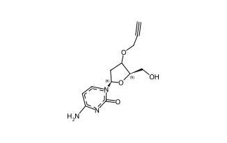 C#CCOC1C[C@H](n2ccc(N)nc2=O)O[C@@H]1CO